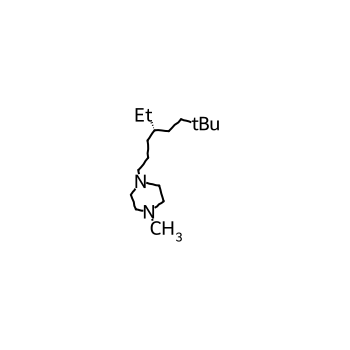 CC[C@@H](CCCN1CCN(C)CC1)CCC(C)(C)C